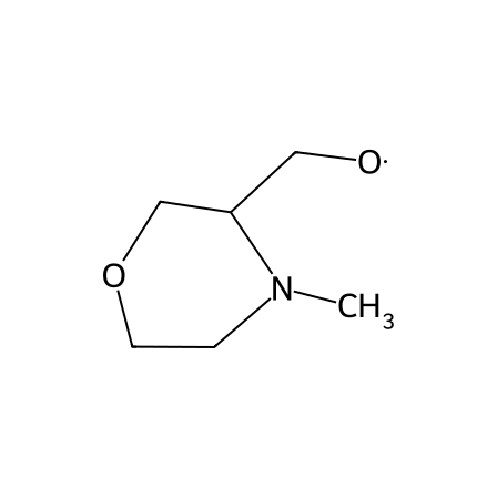 CN1CCOCC1C[O]